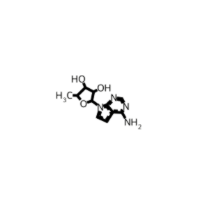 CC1OC(n2ccc3c(N)ncnc32)C(O)C1O